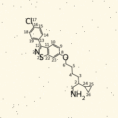 NCC(CCCCOc1ccc2c(-c3ccc(Cl)cc3)nsc2c1)C1CC1